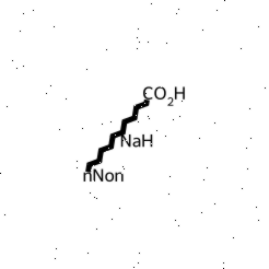 CCCCCCCCCCCCCCCCCCCC(=O)O.[NaH]